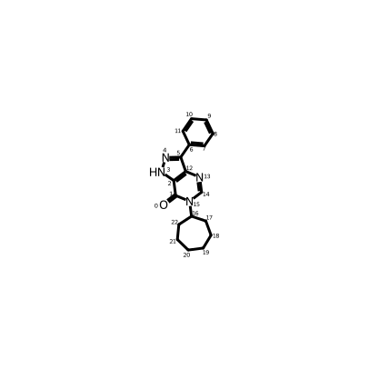 O=c1c2[nH]nc(-c3ccccc3)c2ncn1C1CCCCCC1